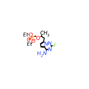 CCOP(=O)(COC(C)Cc1ccc2c(N)nc(F)nn12)OCC